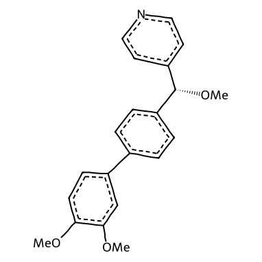 COc1ccc(-c2ccc([C@@H](OC)c3ccncc3)cc2)cc1OC